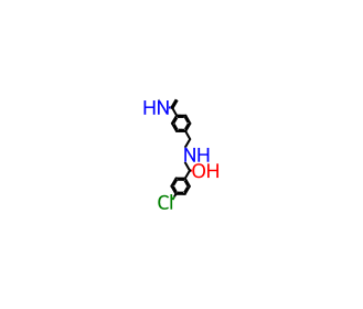 C=C(NC)c1ccc(CCNCC(O)c2ccc(Cl)cc2)cc1